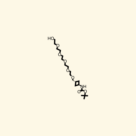 CC(C)(C)OC(=O)N[C@H]1C[C@H](COCCOCCOCCOCCOCCO)C1